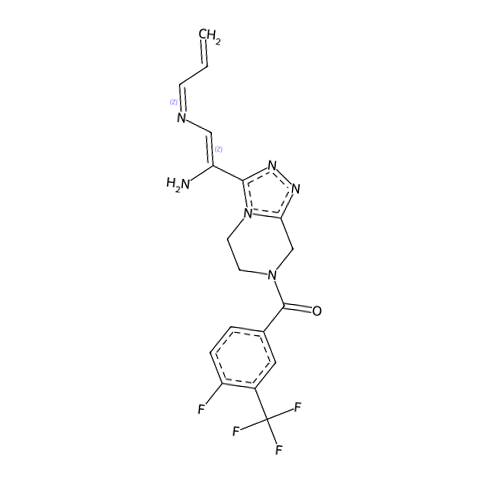 C=C/C=N\C=C(/N)c1nnc2n1CCN(C(=O)c1ccc(F)c(C(F)(F)F)c1)C2